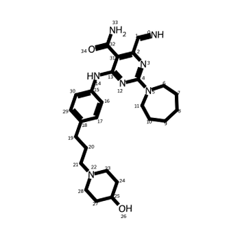 N=Cc1nc(N2CCCCCC2)nc(Nc2ccc(CCCN3CCC(O)CC3)cc2)c1C(N)=O